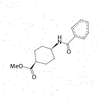 COC(=O)[C@H]1CC[C@@H](NC(=O)c2ccccc2)CC1